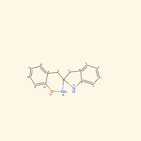 c1ccc2c(c1)CC1(Cc3ccccc3ON1)N2